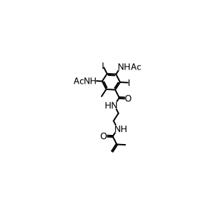 C=C(C)C(=O)NCCNC(=O)c1c(C)c(NC(C)=O)c(I)c(NC(C)=O)c1I